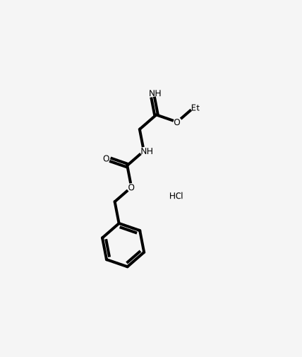 CCOC(=N)CNC(=O)OCc1ccccc1.Cl